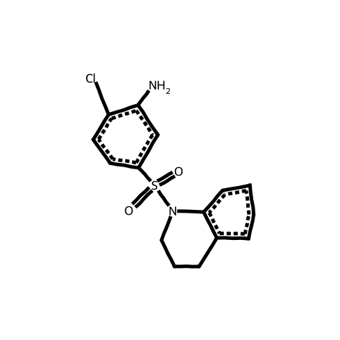 Nc1cc(S(=O)(=O)N2CCCc3ccccc32)ccc1Cl